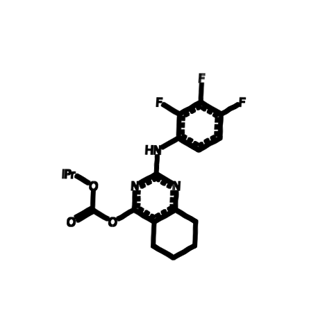 CC(C)OC(=O)Oc1nc(Nc2ccc(F)c(F)c2F)nc2c1CCCC2